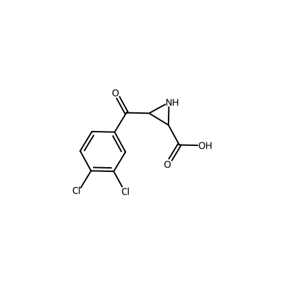 O=C(O)C1NC1C(=O)c1ccc(Cl)c(Cl)c1